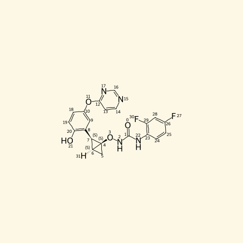 O=C(NO[C@@]12C[C@H]1[C@H]2c1cc(Oc2ccncn2)ccc1O)Nc1ccc(F)cc1F